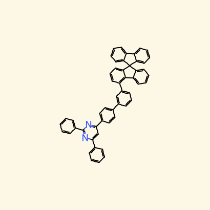 c1ccc(-c2cc(-c3ccc(-c4cccc(-c5cccc6c5-c5ccccc5C65c6ccccc6-c6ccccc65)c4)cc3)nc(-c3ccccc3)n2)cc1